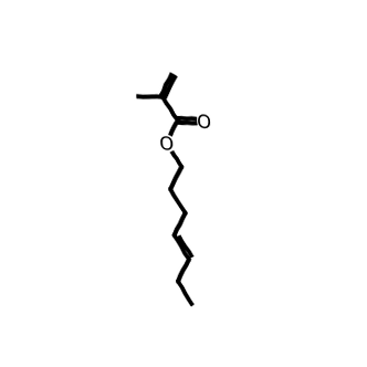 C=C(C)C(=O)OCCCC=CCC